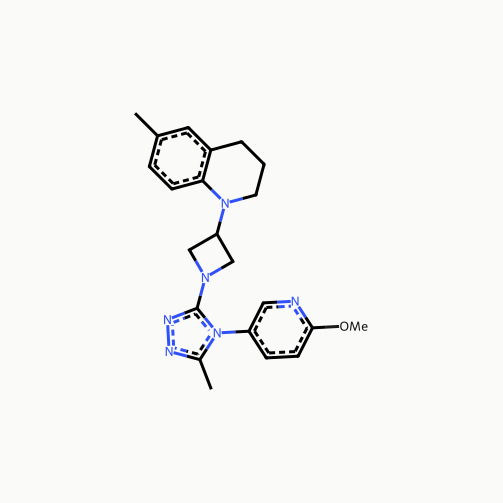 COc1ccc(-n2c(C)nnc2N2CC(N3CCCc4cc(C)ccc43)C2)cn1